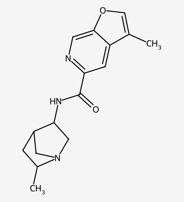 Cc1coc2cnc(C(=O)NC3CN4CC3CC4C)cc12